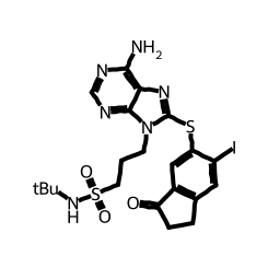 CC(C)(C)NS(=O)(=O)CCCn1c(Sc2cc3c(cc2I)CCC3=O)nc2c(N)ncnc21